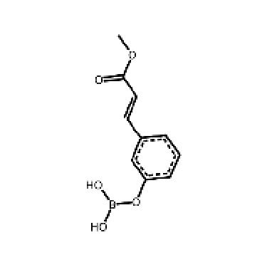 COC(=O)C=Cc1cccc(OB(O)O)c1